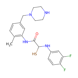 Cc1ccc(CN2CCNCC2)cc1NC(=O)C(S)Nc1ccc(F)c(F)c1